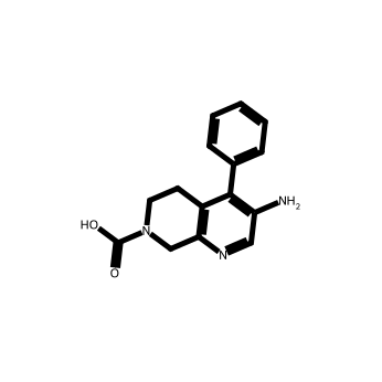 Nc1cnc2c(c1-c1ccccc1)CCN(C(=O)O)C2